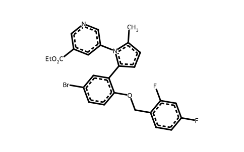 CCOC(=O)c1cncc(-n2c(C)ccc2-c2cc(Br)ccc2OCc2ccc(F)cc2F)c1